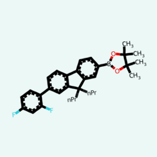 CCCC1(CCC)c2cc(B3OC(C)(C)C(C)(C)O3)ccc2-c2ccc(-c3ccc(F)cc3F)cc21